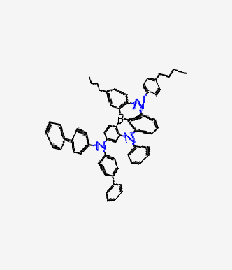 CCCCc1ccc(N2c3ccc(CCCC)cc3B3c4ccc(N(c5ccc(-c6ccccc6)cc5)c5ccc(-c6ccccc6)cc5)cc4N(c4ccccc4)c4cccc2c43)cc1